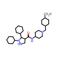 O=C(O)C1CCC(CN2CCC(NC(=O)C3CNN(C4CCCCC4)C3C3CCCCC3)CC2)CC1